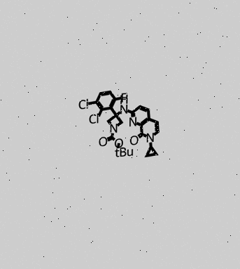 CC(C)(C)OC(=O)N1CC(Nc2ccc3ccn(C4CC4)c(=O)c3n2)(c2c(F)ccc(Cl)c2Cl)C1